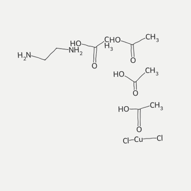 CC(=O)O.CC(=O)O.CC(=O)O.CC(=O)O.NCCN.[Cl][Cu][Cl]